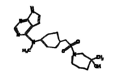 CN(c1ncnc2[nH]ccc12)C1CCC(CS(=O)(=O)N2CCCC(C)(O)C2)CC1